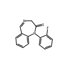 Fc1ccccc1N1C(=S)CN=Cc2ccccc21